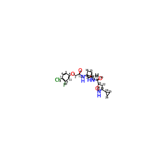 O=C(COc1ccc(Cl)c(F)c1)NC12CC(C1)[C@@H](NC(=O)C1CC(C3CC3)NO1)C2